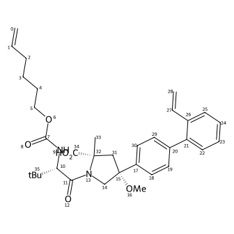 C=CCCCCOC(=O)N[C@H](C(=O)N1C[C@](OC)(c2ccc(-c3ccccc3C=C)cc2)C[C@@]1(C)C(=O)O)C(C)(C)C